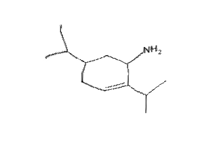 CC(C)C1=CCC(C(C)C)CC1N